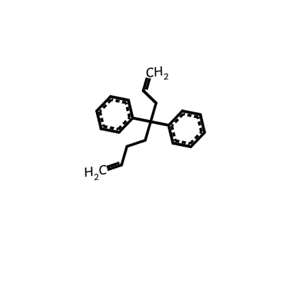 C=CCCC(CC=C)(c1ccccc1)c1ccccc1